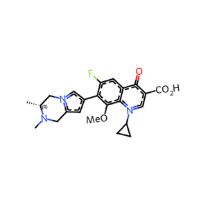 COc1c(-c2cc3n(c2)C[C@@H](C)N(C)C3)c(F)cc2c(=O)c(C(=O)O)cn(C3CC3)c12